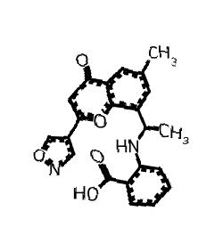 Cc1cc(C(C)Nc2ccccc2C(=O)O)c2oc(-c3cnoc3)cc(=O)c2c1